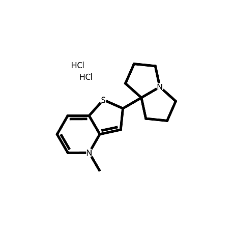 CN1C=CC=C2SC(C34CCCN3CCC4)C=C21.Cl.Cl